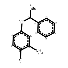 CCCCC(Oc1ccc(Cl)c(N)c1)c1ccccc1